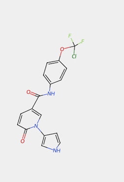 O=C(Nc1ccc(OC(F)(F)Cl)cc1)c1ccc(=O)n(-c2cc[nH]c2)c1